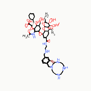 CCC1CC(C(=O)NCCNCc2ccc(CN3CCCNCCNCCCNCC3)c(Br)c2)CC(OC2CC(CO)C(O)C(O[C@@H](CC3CCCCC3)C(=O)O)C2NC(C)=O)C1OC1OC(C)C(O)C(O)C1O